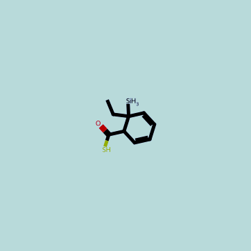 CCC1([SiH3])C=CC=CC1C(=O)S